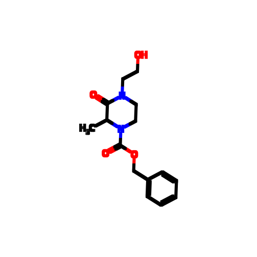 CC1C(=O)N(CCO)CCN1C(=O)OCc1ccccc1